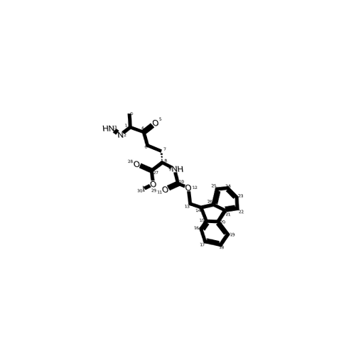 CC(N=N)C(=O)CC[C@H](NC(=O)OCC1c2ccccc2-c2ccccc21)C(=O)OI